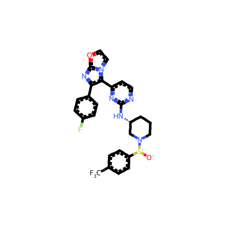 [O-][S+](c1ccc(C(F)(F)F)cc1)N1CCC[C@@H](Nc2nccc(-c3c(-c4ccc(F)cc4)nc4occn34)n2)C1